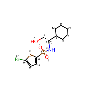 O=S(=O)(N[C@H](CO)C1CCCCC1)c1ccc(Br)s1